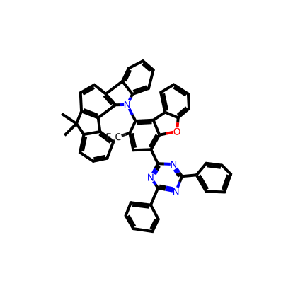 CC1(C)c2ccccc2-c2c1ccc1c3ccccc3n(-c3c(C(F)(F)F)cc(-c4nc(-c5ccccc5)nc(-c5ccccc5)n4)c4oc5ccccc5c34)c21